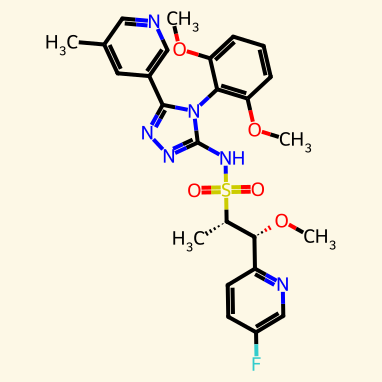 COc1cccc(OC)c1-n1c(NS(=O)(=O)[C@@H](C)[C@H](OC)c2ccc(F)cn2)nnc1-c1cncc(C)c1